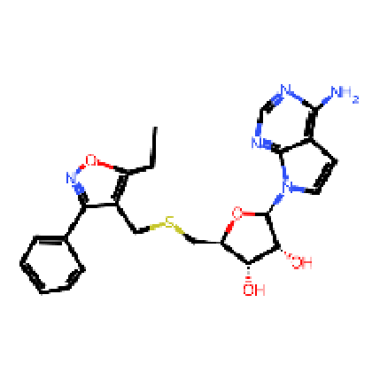 CCc1onc(-c2ccccc2)c1CSC[C@H]1O[C@@H](n2ccc3c(N)ncnc32)[C@H](O)[C@@H]1O